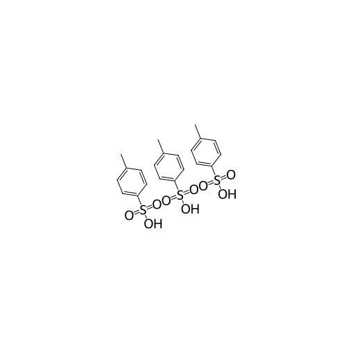 Cc1ccc(S(=O)(=O)O)cc1.Cc1ccc(S(=O)(=O)O)cc1.Cc1ccc(S(=O)(=O)O)cc1